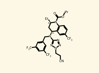 CC[C@@H]1C[C@H](N(Cc2cc(C(F)(F)F)cc(C(F)(F)F)c2)c2nnn(CCC#N)n2)c2cc(C(F)(F)F)ccc2N1C(=O)OC(C)C